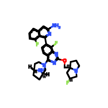 Nc1cc2cccc(F)c2c(-c2ccc3c(N4CC[C@H]5CC[C@@H](C4)N5)nc(OC[C@@]45CCCN4C[C@H](F)C5)nc3c2F)n1